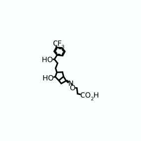 O=C(O)CCON=C1CC2C1CC(CCC(O)c1cccc(C(F)(F)F)c1)C2O